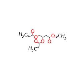 C=COC(=O)CC(COC(=O)C=C)OC(=O)C=C